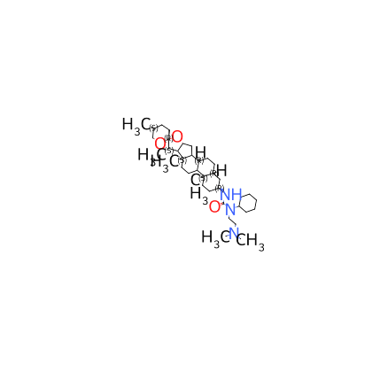 C[C@H]1CC[C@@]2(OC1)OC1CC3[C@@H]4CC[C@@H]5C[C@H](NC(=O)N(CCN(C)C)C6CCCCC6)CC[C@]5(C)C4CC[C@]3(C)C1[C@@H]2C